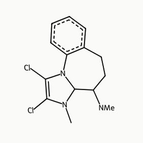 CNC1CCc2ccccc2N2C(Cl)=C(Cl)N(C)C12